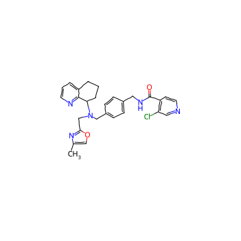 Cc1coc(CN(Cc2ccc(CNC(=O)c3ccncc3Cl)cc2)C2CCCc3cccnc32)n1